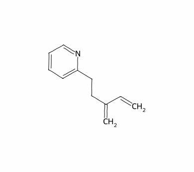 C=CC(=C)CCc1ccccn1